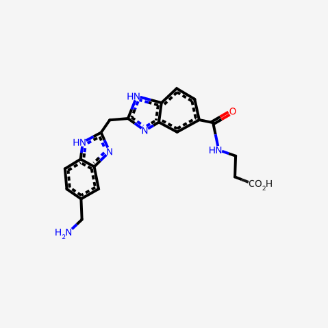 NCc1ccc2[nH]c(Cc3nc4cc(C(=O)NCCC(=O)O)ccc4[nH]3)nc2c1